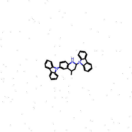 CC1CC(n2c3ccccc3c3ccccc32)Nc2ccc(-n3c4ccccc4c4ccccc43)cc21